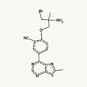 Cc1nc2c(-c3ccc(OCC(C)(N)CC(C)C)c(C#N)c3)ncnc2s1